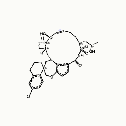 C[C@H](O)C[C@H]1CC/C=C\[C@H](O)[C@@H]2CC[C@H]2CN2C[C@@]3(CCCc4cc(Cl)ccc43)COc3ccc(cc32)C(=O)NS1(=O)=O